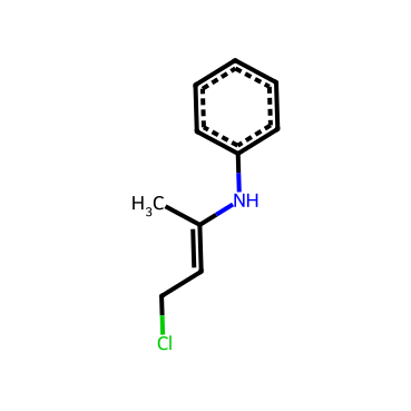 C/C(=C\CCl)Nc1ccccc1